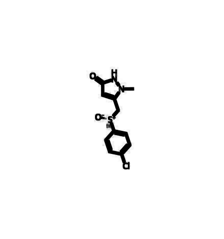 Cn1[nH]c(=O)cc1C[S@@+]([O-])c1ccc(Cl)cc1